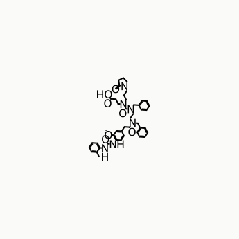 COc1cc(CC(=O)N(CCN(Cc2ccccc2)C(=O)N(CCCN2CCCC2=O)CCC(=O)O)Cc2ccccc2)ccc1NC(=O)Nc1ccccc1C